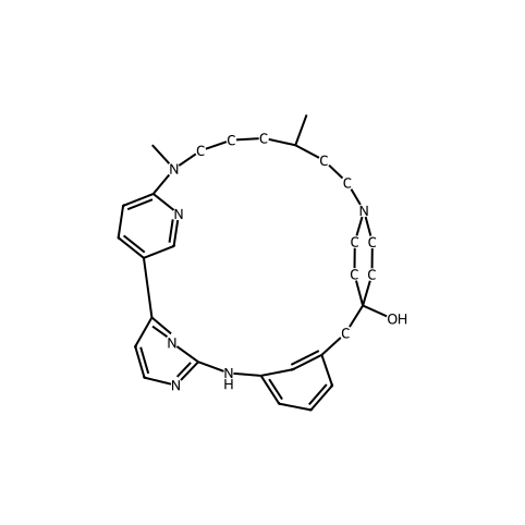 CC1CCCN(C)c2ccc(cn2)-c2ccnc(n2)Nc2cccc(c2)CC2(O)CCN(CC1)CC2